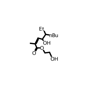 CCCCC(CC)C(O)C=C(C)C(=O)OCCO